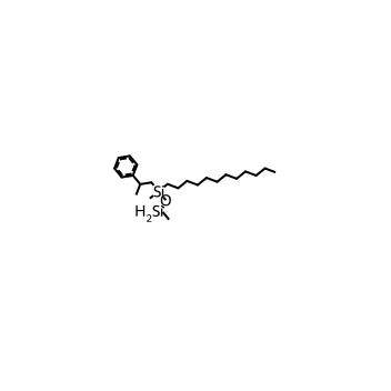 CCCCCCCCCCCC[Si](C)(CC(C)c1ccccc1)O[SiH2]C